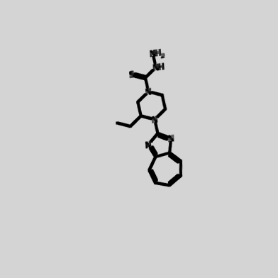 CCC1CN(C(=S)NN)CCN1c1nc2cccccc-2n1